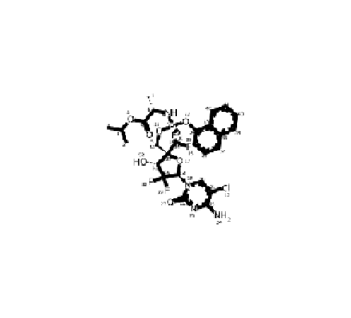 CC(C)OC(=O)[C@H](C)NP(=O)(OC[C@@]1(C(F)F)O[C@@H](n2cc(Cl)c(N)nc2=O)C(F)(F)[C@@H]1O)Oc1cccc2ccccc12